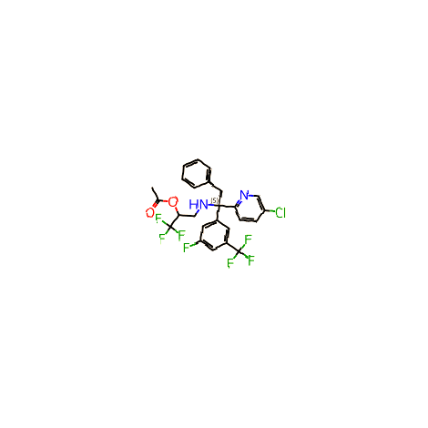 CC(=O)OC(CN[C@@](Cc1ccccc1)(c1cc(F)cc(C(F)(F)F)c1)c1ccc(Cl)cn1)C(F)(F)F